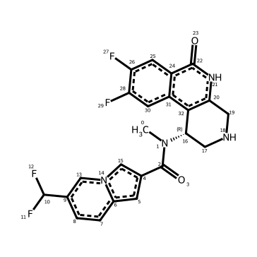 CN(C(=O)c1cc2ccc(C(F)F)cn2c1)[C@H]1CNCc2[nH]c(=O)c3cc(F)c(F)cc3c21